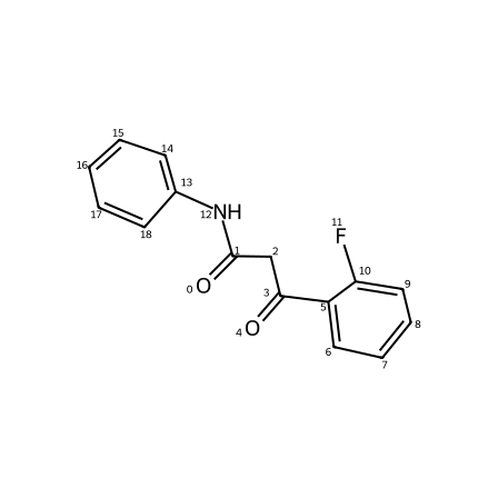 O=C(CC(=O)c1ccccc1F)Nc1ccccc1